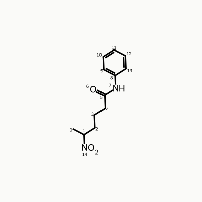 CC(CCCC(=O)Nc1ccccc1)[N+](=O)[O-]